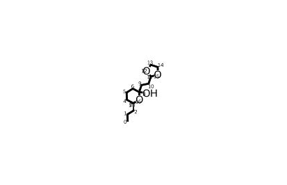 CCC[C@H]1CCCC(O)(CCC2OCCO2)O1